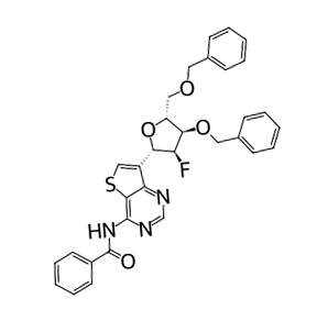 O=C(Nc1ncnc2c([C@@H]3O[C@H](COCc4ccccc4)[C@@H](OCc4ccccc4)[C@H]3F)csc12)c1ccccc1